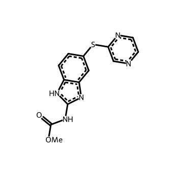 COC(=O)Nc1nc2cc(Sc3cnccn3)ccc2[nH]1